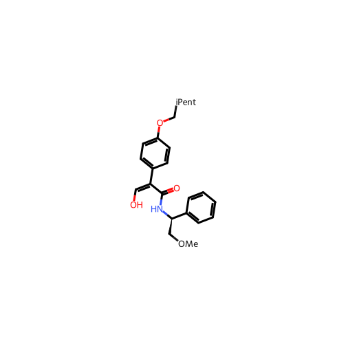 CCCC(C)COc1ccc(C(=CO)C(=O)N[C@H](COC)c2ccccc2)cc1